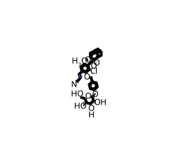 COC1(c2ccc(/C=C/C#N)c(OCc3ccc(O[C@@H]4OC(CO)[C@H](O)C(O)[C@@H]4O)cc3)c2Cl)OOC12C1CC3CC(C1)CC2C3